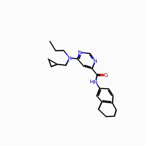 CCCN(CC1CC1)c1cc(C(=O)Nc2ccc3c(c2)CCCC3)ncn1